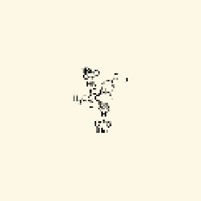 Cc1cc(C[C@@H]2CN(C(=O)OC(C)(C)C)C[C@H]2O[Si](C)(C)C(C)(C)C)nc(NC(=O)OC(C)(C)C)c1